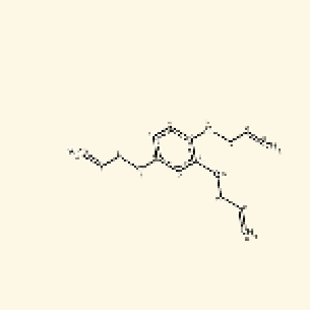 C=CCOc1c[c]c(OCC=C)c(OCC=C)c1